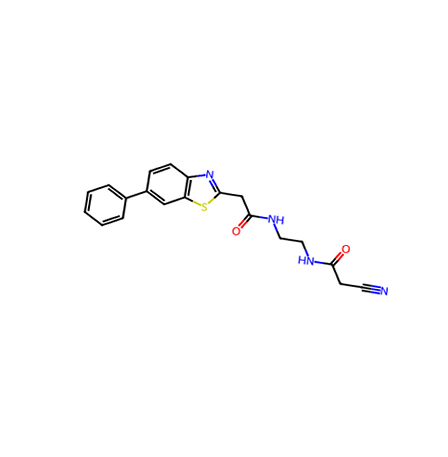 N#CCC(=O)NCCNC(=O)Cc1nc2ccc(-c3ccccc3)cc2s1